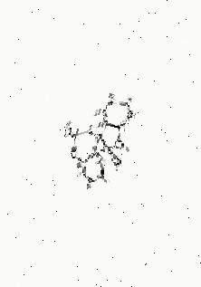 O=C1CC2(C(=O)Oc3ccccc32)c2ccccc2O1